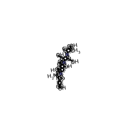 COc1cc(S(=O)(=O)O)c(C)cc1/N=N/c1cc(OCCO)c(/N=N/c2c(S(=O)(=O)O)cc3c(S(=O)(=O)O)c(/N=N/C4C(=O)N(c5ccc(S(=O)(=O)O)cc5)N=C4C(N)=O)ccc3c2O)cc1OCCO